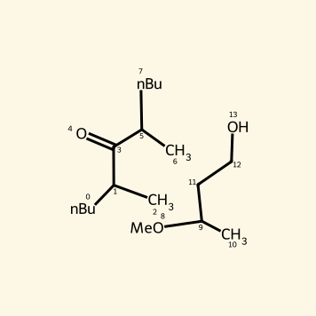 CCCCC(C)C(=O)C(C)CCCC.COC(C)CCO